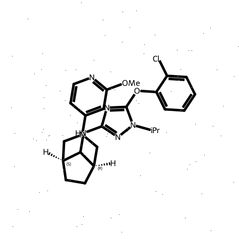 COc1cc(N2C[C@H]3CC[C@@H](C2)C3Nc2nc(Oc3ccccc3Cl)n(C(C)C)n2)ccn1